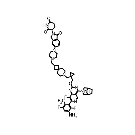 Nc1cc(F)c(C(F)(F)F)c(-c2ncc3c(N4CC5CCC(C4)N5)nc(OCC4(CN5CCC6(CC5)CC(CN5CCN(c7ccc8c(c7)CN([C@H]7CCC(=O)NC7=O)C8=O)CC5)C6)CC4)nc3c2F)c1F